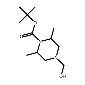 CC1CN(CO)CC(C)N1C(=O)OC(C)(C)C